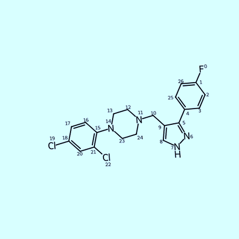 Fc1ccc(-c2n[nH]cc2CN2CCN(c3ccc(Cl)cc3Cl)CC2)cc1